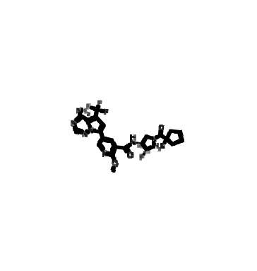 COc1ncc(-c2cc(C(F)(F)F)c3c(N)ncnn23)cc1C(=O)N[C@@H]1CN(C(=O)C2(N)CCCC2)C[C@@H]1F